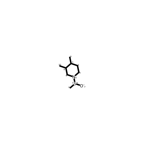 CC1CCN([S+](C)[O-])CC1C